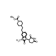 Cn1c(=O)n(C2CCC(=O)NC2=O)c2ccc(CCC3CCN(C(=O)OC(C)(C)C)CC3)cc21